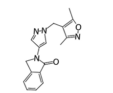 Cc1noc(C)c1Cn1cc(N2Cc3ccccc3C2=O)cn1